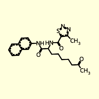 CC(=O)CCCCCC(NC(=O)c1snnc1C)C(=O)Nc1ccc2ccccc2c1